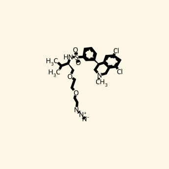 CC(C)[C@H](COCCOCCN=[N+]=[N-])NS(=O)(=O)c1cccc([C@@H]2CN(C)Cc3c(Cl)cc(Cl)cc32)c1